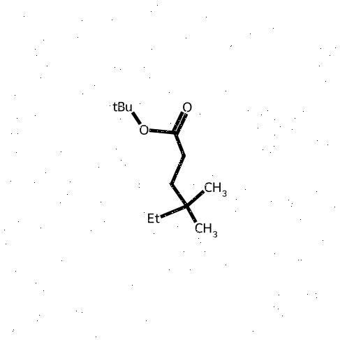 CCC(C)(C)CCC(=O)OC(C)(C)C